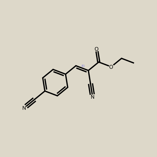 CCOC(=O)/C(C#N)=C/c1ccc(C#N)cc1